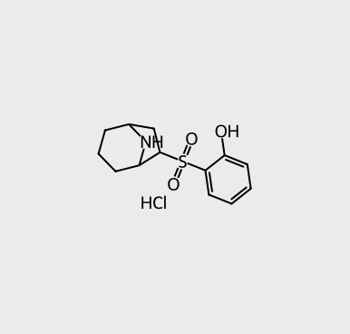 Cl.O=S(=O)(c1ccccc1O)C1CC2CCCC1N2